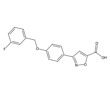 O=C(O)c1cc(-c2ccc(OCc3cccc(F)c3)cc2)no1